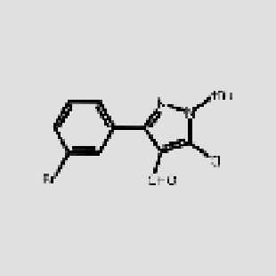 CC(C)(C)n1nc(-c2cccc(Br)c2)c(C=O)c1Cl